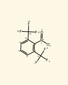 O=[N+]([O-])c1c(C(F)(F)F)cccc1C(F)(F)F